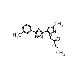 CCOC(=O)Cn1nc(C)cc1-c1nnc(-c2cccc(C)c2)s1